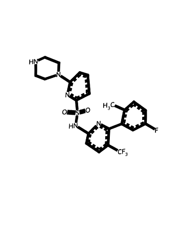 Cc1ccc(F)cc1-c1nc(NS(=O)(=O)c2cccc(N3CCNCC3)n2)ccc1C(F)(F)F